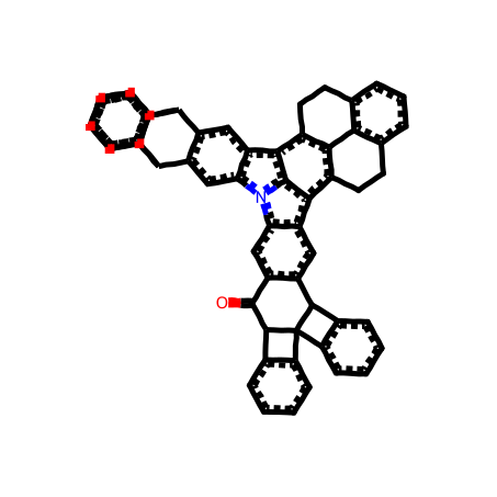 O=C1c2cc3c(cc2C2c4ccccc4C24c2ccccc2C14)c1c2c4c(c5c6cc7c(cc6n3c15)C1c3ccccc3C7c3ccccc31)CCc1cccc(c1-4)CC2